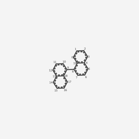 [c]1cccc2cccc(-c3cccc4ccccc34)c12